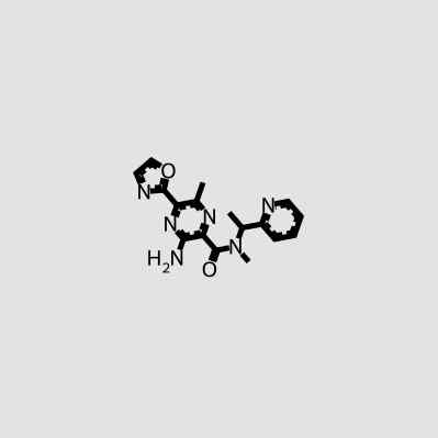 Cc1nc(C(=O)N(C)C(C)c2ccccn2)c(N)nc1-c1ncco1